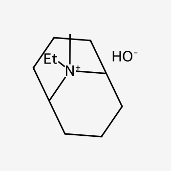 CC[N+]1(C)C2CCCC1CCC2.[OH-]